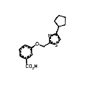 O=C(O)c1cccc(OCc2nc(C3CCCC3)cs2)c1